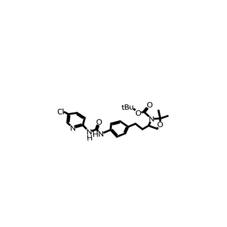 CC(C)(C)OC(=O)N1C(CCc2ccc(NC(=O)Nc3ccc(Cl)cn3)cc2)COC1(C)C